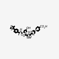 Cc1ncsc1-c1ccc([C@H](C)NC(=O)[C@@H]2C[C@@H](O)CN2C(=O)C(NC(=O)c2ncc(N3CCC(C(=O)O)CC3)cn2)C(C)(C)C)cc1